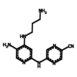 N#Cc1cnc(Nc2cc(NCCCN)c(N)cn2)cn1